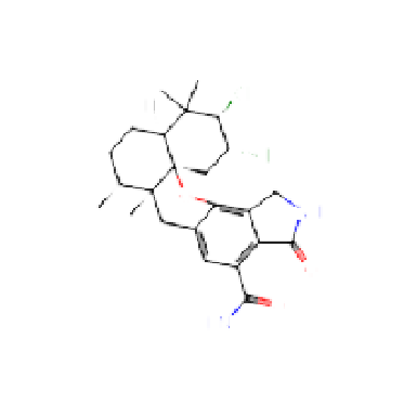 C[C@H]1CC[C@H]2C(C)(C)[C@@H](Cl)[C@H](Cl)C[C@]23Oc2c(cc(C(N)=O)c4c2CNC4=O)C[C@]13C